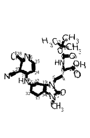 Cn1c(=O)n(CC[C@H](NC(=O)OC(C)(C)C)C(=O)O)c2cc(Nc3ccnc(Cl)c3C#N)ccc21